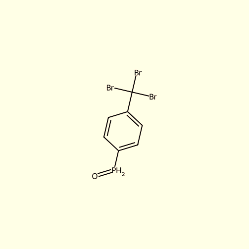 O=[PH2]c1ccc(C(Br)(Br)Br)cc1